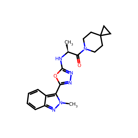 C[C@H](Nc1nnc(-c2c3ccccc3nn2C)o1)C(=O)N1CCC2(CC1)CC2